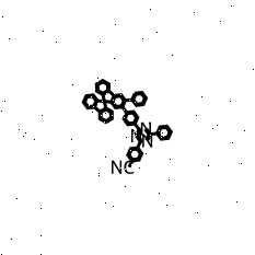 N#Cc1ccc(-c2nc(-c3ccccc3)nc(-c3ccc(-c4cc5c(cc4-c4ccccc4)-c4ccccc4C54c5ccccc5-c5ccccc54)cc3)n2)cc1